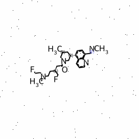 C/N=C/c1ccc([C@H]2C[C@@H](C)CN(C(=O)C[C@@H](CF)CCN(C)CCF)C2)c2cccnc12